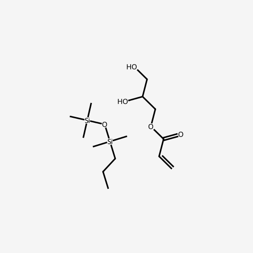 C=CC(=O)OCC(O)CO.CCC[Si](C)(C)O[Si](C)(C)C